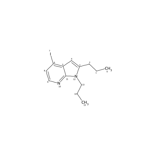 CCCc1cc2c(I)ccnc2n1CCC